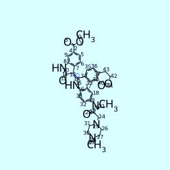 COC(=O)c1ccc2c(c1)NC(=O)/C2=C(\Nc1ccc(N(C)C(=O)CN2CCN(C)CC2)cc1)c1ccc2c(c1)OOCC2